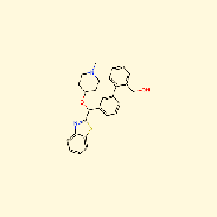 CN1CCC(OC(c2cccc(-c3ccccc3CO)c2)c2nc3ccccc3s2)CC1